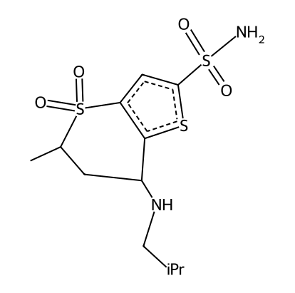 CC(C)CNC1CC(C)S(=O)(=O)c2cc(S(N)(=O)=O)sc21